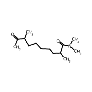 CC(=O)C(C)CCCCCC(C)C(=O)N(C)C